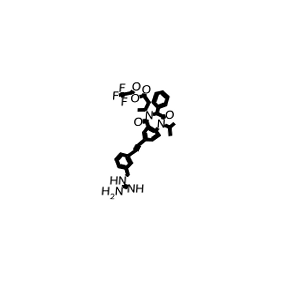 CC(C)N1C(=O)C(c2ccccc2)N(C(C)CC(=O)OC(=O)C(F)(F)F)C(=O)c2cc(C#Cc3cccc(CNC(=N)N)c3)ccc21